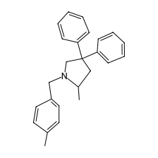 Cc1ccc(CN2CC(c3ccccc3)(c3ccccc3)CC2C)cc1